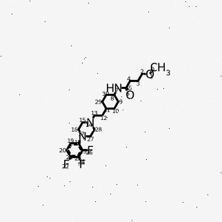 COCCCC(=O)NC1CCC(CCN2CCN(c3ccc(F)c(F)c3F)CC2)CC1